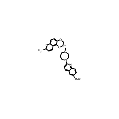 COc1ccc2nc(N3CCCN(C[C@H]4COc5ccc6nc(C)ccc6c5O4)CC3)ccc2c1